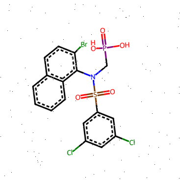 O=P(O)(O)CN(c1c(Br)ccc2ccccc12)S(=O)(=O)c1cc(Cl)cc(Cl)c1